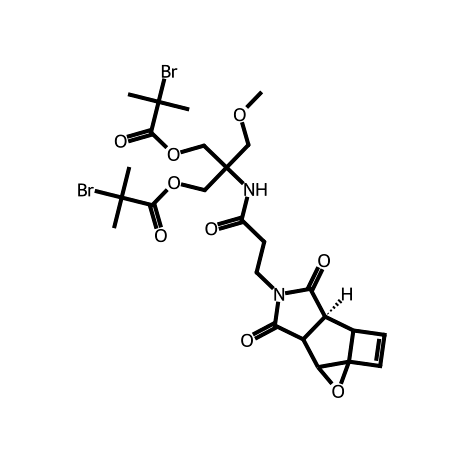 COCC(COC(=O)C(C)(C)Br)(COC(=O)C(C)(C)Br)NC(=O)CCN1C(=O)C2C3OC34C=CC4[C@@H]2C1=O